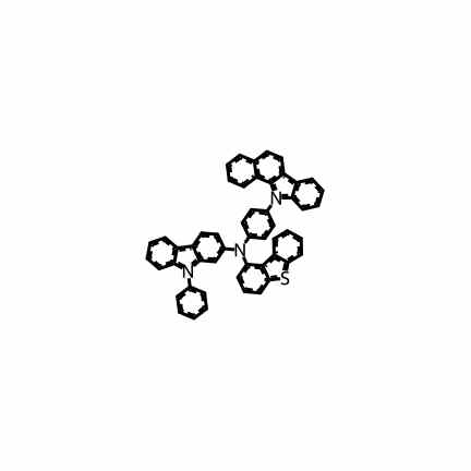 c1ccc(-n2c3ccccc3c3ccc(N(c4ccc(-n5c6ccccc6c6ccc7ccccc7c65)cc4)c4cccc5sc6ccccc6c45)cc32)cc1